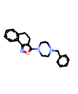 c1ccc(CN2CCN(c3onc4c3CCc3ccccc3-4)CC2)cc1